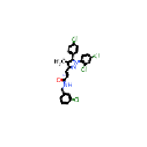 Cc1c(/C=C/C(=O)NCc2cccc(Cl)c2)nn(-c2ccc(Cl)cc2Cl)c1-c1ccc(Cl)cc1